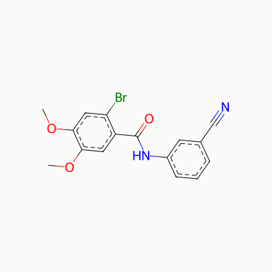 COc1cc(Br)c(C(=O)Nc2cccc(C#N)c2)cc1OC